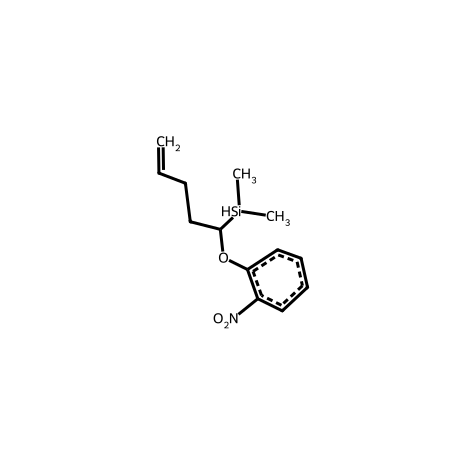 C=CCCC(Oc1ccccc1[N+](=O)[O-])[SiH](C)C